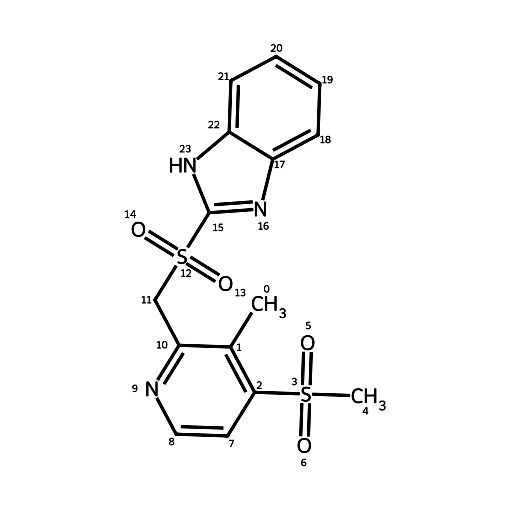 Cc1c(S(C)(=O)=O)ccnc1CS(=O)(=O)c1nc2ccccc2[nH]1